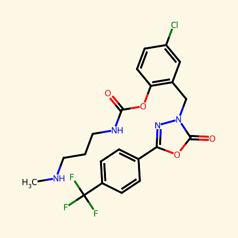 CNCCCNC(=O)Oc1ccc(Cl)cc1Cn1nc(-c2ccc(C(F)(F)F)cc2)oc1=O